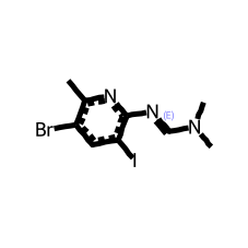 Cc1nc(/N=C/N(C)C)c(I)cc1Br